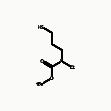 CCN(CCCS)C(=O)OC(C)(C)C